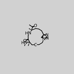 CN[C@@]1(C)CCCCn2cc(nn2)CCC[C@@](C)(C(C)=O)NCC1=O